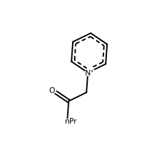 CCCC(=O)C[n+]1ccccc1